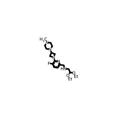 CCOC(CNCc1ccc(F)c(N2CC(N3CCN(C)CC3)C2)n1)OCC